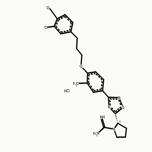 Cl.N=C(N)N1CCC[C@H]1c1nc(-c2ccc(OCCCc3ccc(Cl)c(Cl)c3)c(C(F)(F)F)c2)no1